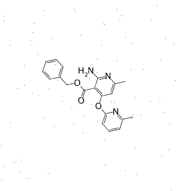 Cc1cccc(Oc2cc(C)nc(N)c2C(=O)OCc2ccccc2)n1